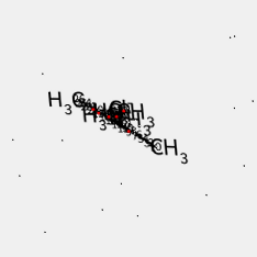 CCCCCCCCCCCCC=CC(CCCCCCCCCCCC)[N+](C)(C)C(O)CC.[Cl-]